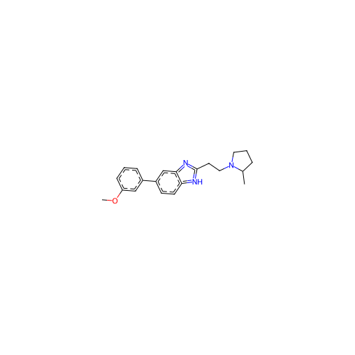 COc1cccc(-c2ccc3[nH]c(CCN4CCCC4C)nc3c2)c1